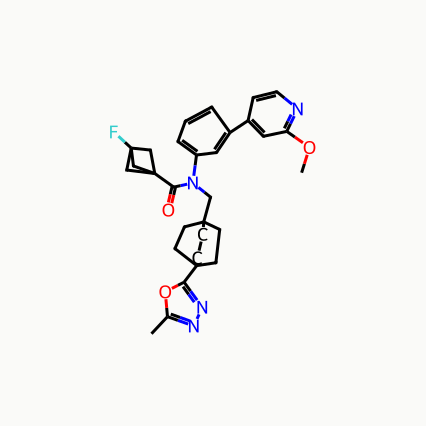 COc1cc(-c2cccc(N(CC34CCC(c5nnc(C)o5)(CC3)CC4)C(=O)C34CC(F)(C3)C4)c2)ccn1